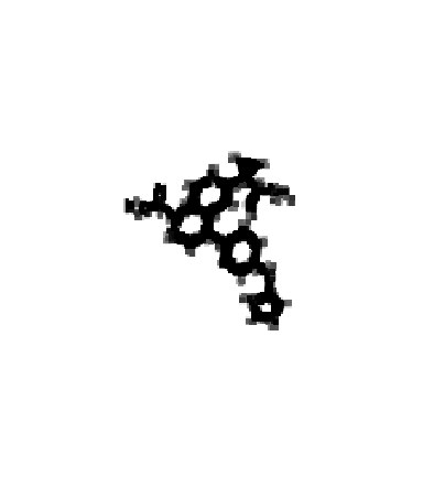 CNc1ncc(-c2ccc(Oc3cncs3)cc2)c2cc(C3(C(N)=O)CC3)ncc12